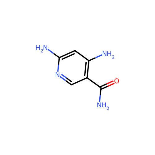 NC(=O)c1cnc(N)cc1N